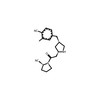 N#Cc1ccc(C[C@H]2CN[C@@H](CC(=O)N3CCC[C@H]3C#N)C2)cc1I